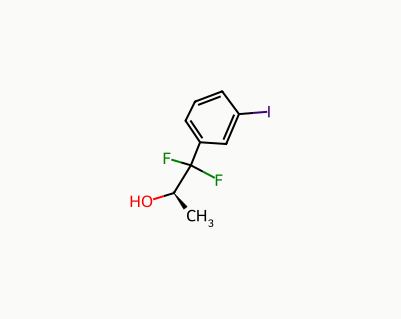 C[C@@H](O)C(F)(F)c1cccc(I)c1